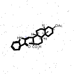 CC(=O)O[C@H]1CC[C@@]2(C)[C@H](CC[C@H]3C(/C=C4/Nc5ccccc5C4=O)[C@@](C)(C(=O)O)CC[C@@H]32)C1